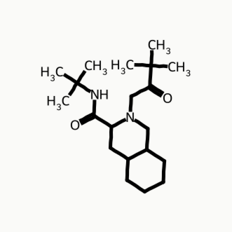 CC(C)(C)NC(=O)C1CC2CCCCC2CN1CC(=O)C(C)(C)C